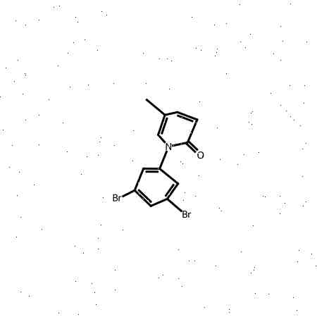 Cc1ccc(=O)n(-c2cc(Br)cc(Br)c2)c1